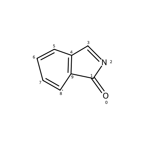 O=C1N=Cc2ccc[c]c21